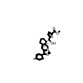 COC(=O)c1ccc(C(O)[C@H]2CCCC3=Cc4c(-c5ccc(F)cc5)ncn4C[C@@]32C)s1